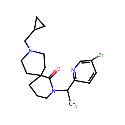 O=C1N(C(c2ccc(Br)cn2)C(F)(F)F)CCCC12CCN(CC1CC1)CC2